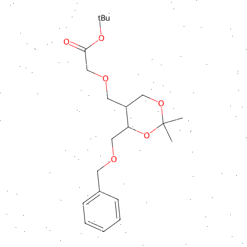 CC(C)(C)OC(=O)COCC1COC(C)(C)OC1COCc1ccccc1